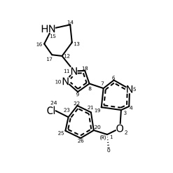 C[C@@H](Oc1cncc(-c2cnn(C3CCNCC3)c2)c1)c1ccc(Cl)cc1